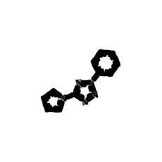 c1ccc(-n2nnc(-n3cccc3)n2)cc1